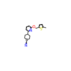 Cc1ccc(COc2cccc(C3CCB(C#N)CC3)n2)s1